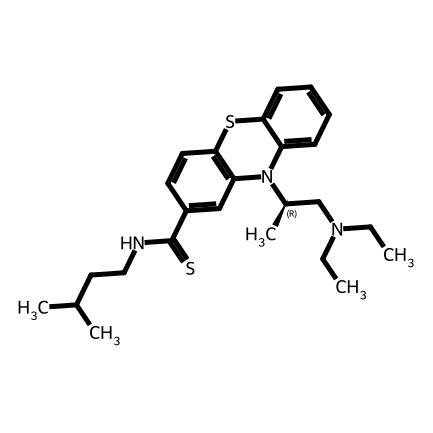 CCN(CC)C[C@@H](C)N1c2ccccc2Sc2ccc(C(=S)NCCC(C)C)cc21